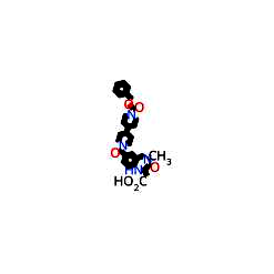 CN1Cc2cc(C(=O)N3CCC(C4CCN(C(=O)OCc5ccccc5)CC4)CC3)ccc2NC(CC(=O)O)C1=O